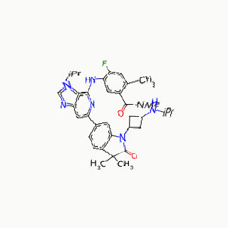 CNC(=O)c1cc(Nc2nc(-c3ccc4c(c3)N(C3CC(NC(C)C)C3)C(=O)C4(C)C)cc3ncn(C(C)C)c23)c(F)cc1C